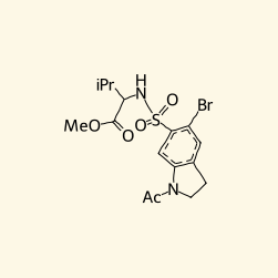 COC(=O)C(NS(=O)(=O)c1cc2c(cc1Br)CCN2C(C)=O)C(C)C